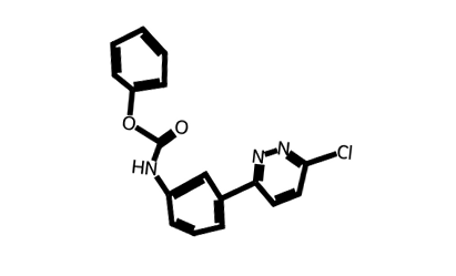 O=C(Nc1cccc(-c2ccc(Cl)nn2)c1)Oc1ccccc1